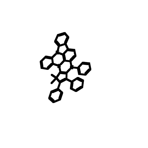 CC1(C)C2=C(C(c3ccccc3)=C1c1ccccc1)N(c1ccccc1)c1ccc3c4ccccc4n4c3c1B2c1ccccc1-4